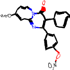 COc1ccn2c(=O)c(-c3ccccc3)c(-c3ccc(O[N+](=O)[O-])cc3)nc2c1